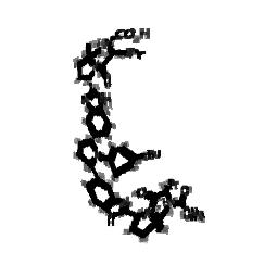 COC(=O)NC(C(=O)N1[C@H](c2nc3cc([C@H]4CC[C@H](c5ccc6[nH]c([C@@H]7CCC(C)(C)N7C(=O)C(NC(=O)O)C(C)C)nc6c5)N4c4ccc(C(C)(C)C)cc4)ccc3[nH]2)CCC1(C)C)C(C)C